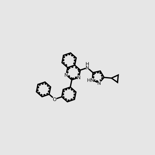 c1ccc(Oc2cccc(-c3nc(Nc4cc(C5CC5)n[nH]4)c4ccccc4n3)c2)cc1